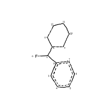 FC(c1ccccn1)C1CCCCC1